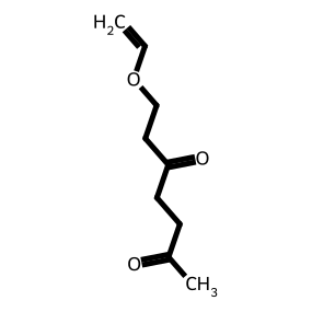 C=COCCC(=O)CCC(C)=O